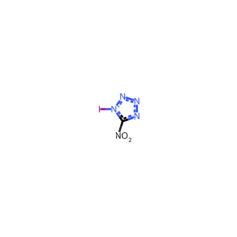 O=[N+]([O-])c1nnnn1I